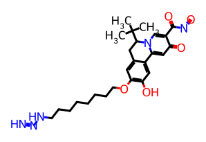 CC(C)(C)C1Cc2cc(OCCCCCCCCNN=N)c(O)cc2-c2cc(=O)c(C(=O)N=O)cn21